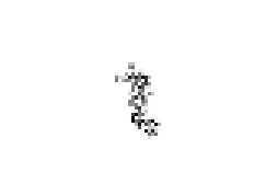 C[C@@H]1CN(c2ccnc(N3CCOCC3)n2)C[C@H](C)N1c1ccnc([C@@H](C)O)n1